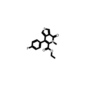 CCOC(=O)c1c(-c2ccc(F)cc2)c2cscc2c(=O)n1C